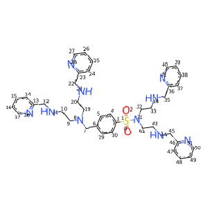 O=S(=O)(c1ccc(CN(CCNCc2ccccn2)CCNCc2ccccn2)cc1)N(CCNCc1ccccn1)CCNCc1ccccn1